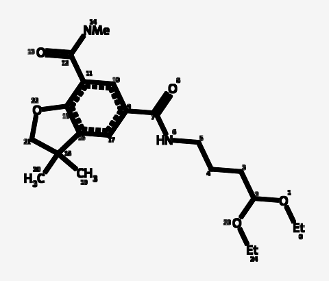 CCOC(CCCNC(=O)c1cc(C(=O)NC)c2c(c1)C(C)(C)CO2)OCC